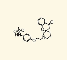 CS(=O)(=O)Nc1ccc(OCCN2CCCC3(CC(=O)c4ccccc4O3)C2)cc1